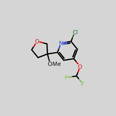 COC1(c2cc(OC(F)F)cc(Cl)n2)CCOC1